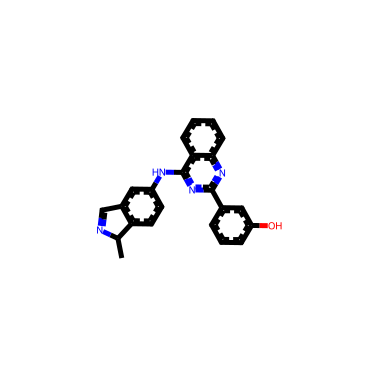 CC1N=Cc2cc(Nc3nc(-c4cccc(O)c4)nc4ccccc34)ccc21